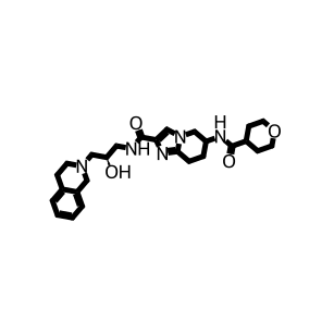 O=C(NC[C@H](O)CN1CCc2ccccc2C1)c1cn2c(n1)CCC(NC(=O)C1CCOCC1)C2